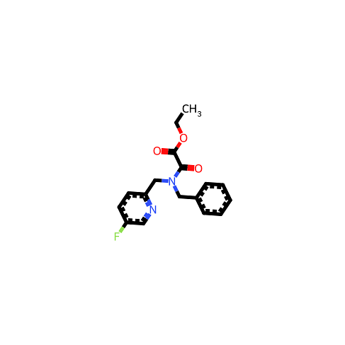 CCOC(=O)C(=O)N(Cc1ccccc1)Cc1ccc(F)cn1